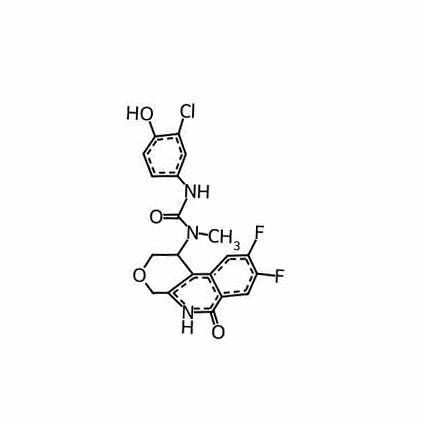 CN(C(=O)Nc1ccc(O)c(Cl)c1)C1COCc2[nH]c(=O)c3cc(F)c(F)cc3c21